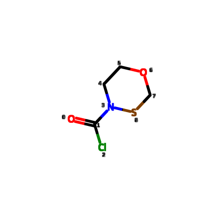 O=C(Cl)N1CCOCS1